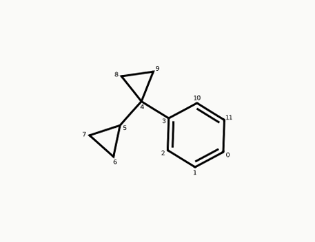 c1ccc(C2(C3CC3)CC2)cc1